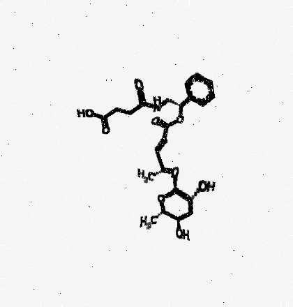 C[C@H](CCC(=O)O[C@H](CNC(=O)CCC(=O)O)c1ccccc1)O[C@@H]1O[C@@H](C)[C@H](O)C[C@H]1O